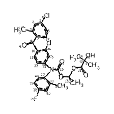 Cc1cc(Cl)ccc1C(=O)c1ccc(N(C(=O)OC(C)OC(=O)C(C)(C)O)c2ccc(F)cc2C)cc1Cl